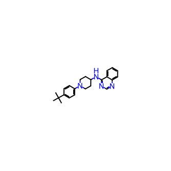 CC(C)(C)c1ccc(N2CCC(Nc3ncnc4ccccc34)CC2)cc1